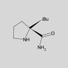 CC[C@H](C)[C@@]1(C(N)=O)CCCN1